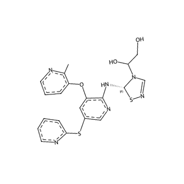 Cc1ncccc1Oc1cc(Sc2ccccn2)cnc1N[C@H]1SN=CN1C(O)CO